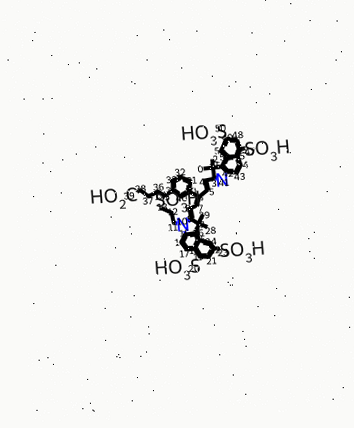 CC1(C)C(/C=C/C(=C/C=C2/N(CCCS(=O)(=O)O)c3ccc4c(S(=O)(=O)O)cc(S(=O)(=O)O)cc4c3C2(C)C)c2cccc(CCCCC(=O)O)c2)=Nc2ccc3c(S(=O)(=O)O)cc(S(=O)(=O)O)cc3c21